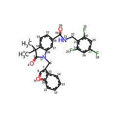 CC1(C)C(=O)N(Cc2coc3ccccc23)c2cc(C(=O)NCc3c(F)cc(F)cc3F)ccc21